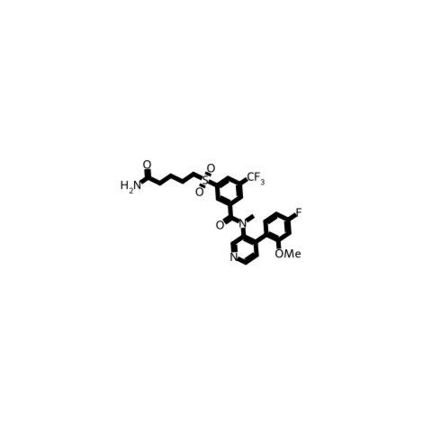 COc1cc(F)ccc1-c1ccncc1N(C)C(=O)c1cc(C(F)(F)F)cc(S(=O)(=O)CCCCC(N)=O)c1